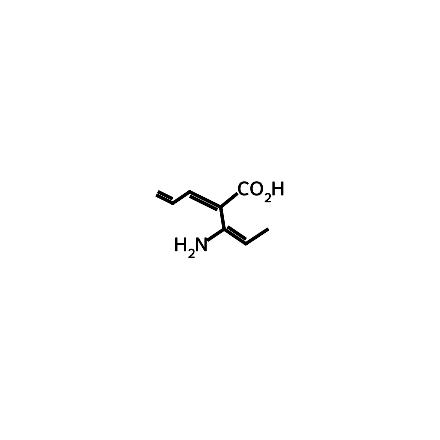 C=C/C=C(C(=O)O)\C(N)=C/C